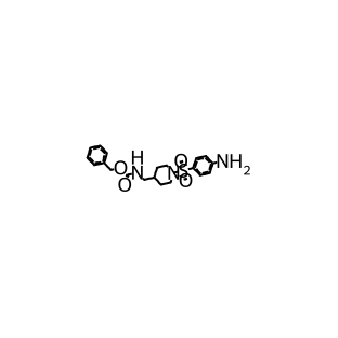 Nc1ccc(S(=O)(=O)N2CCC(CNC(=O)OCc3ccccc3)CC2)cc1